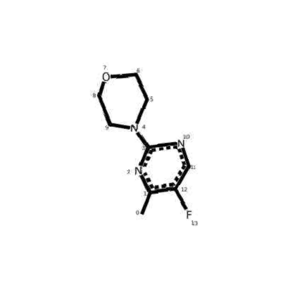 Cc1nc(N2CCOCC2)ncc1F